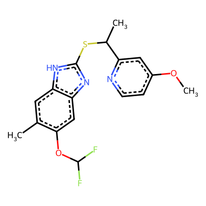 COc1ccnc(C(C)Sc2nc3cc(OC(F)F)c(C)cc3[nH]2)c1